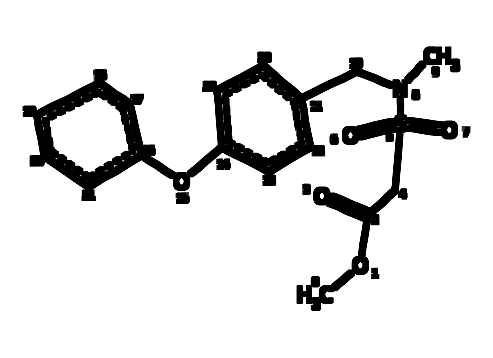 COC(=O)CS(=O)(=O)N(C)Cc1ccc(Oc2ccccc2)cc1